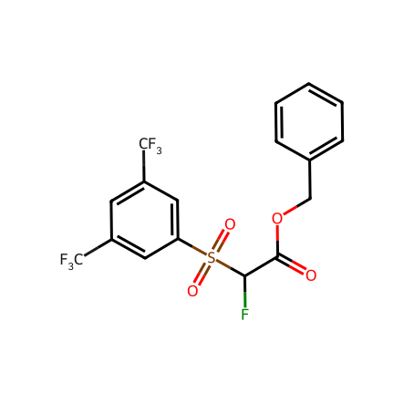 O=C(OCc1ccccc1)C(F)S(=O)(=O)c1cc(C(F)(F)F)cc(C(F)(F)F)c1